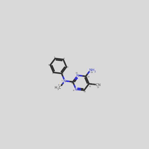 CN(c1ccccc1)c1ncc(C#N)c(N)n1